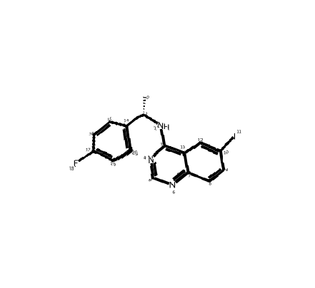 C[C@H](Nc1ncnc2ccc(I)cc12)c1ccc(F)cc1